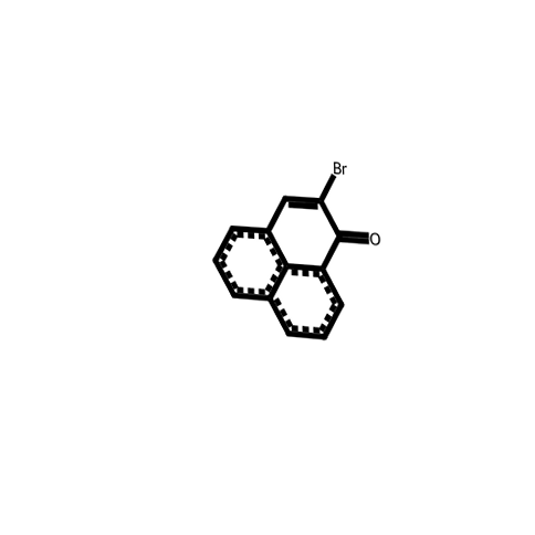 O=C1C(Br)=Cc2cccc3cccc1c23